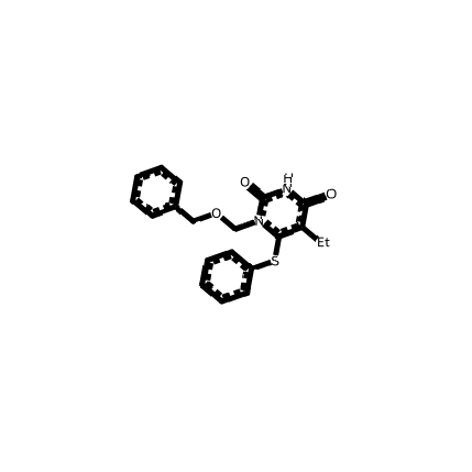 CCc1c(Sc2ccccc2)n(COCc2ccccc2)c(=O)[nH]c1=O